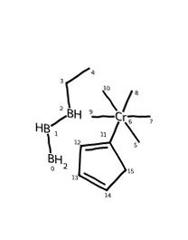 BBBCC.[CH3][Cr]([CH3])([CH3])([CH3])([CH3])[C]1=CC=CC1